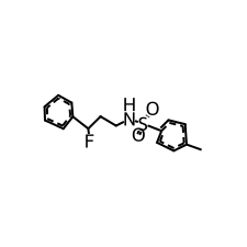 Cc1ccc(S(=O)(=O)NCCC(F)c2ccccc2)cc1